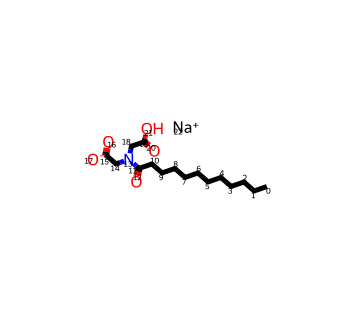 CCCCCCCCCCCC(=O)N(CC(=O)[O-])CC(=O)O.[Na+]